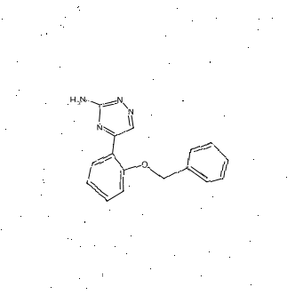 Nc1nncc(-c2ccccc2OCc2ccccc2)n1